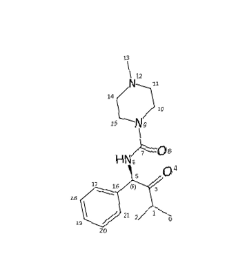 CC(C)C(=O)[C@H](NC(=O)N1CCN(C)CC1)c1ccccc1